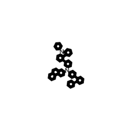 c1ccc(-c2ccccc2-c2ccc(N(c3cccc(-c4cccc5c4c4ccccc4n5-c4ccccc4)c3)c3ccc4c(ccc5ccccc54)c3)cc2)cc1